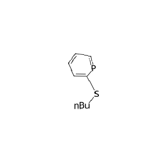 CCCCSc1ccccp1